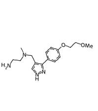 COCCOc1ccc(-c2n[nH]cc2CN(C)CCN)cc1